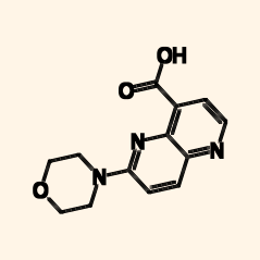 O=C(O)c1ccnc2ccc(N3CCOCC3)nc12